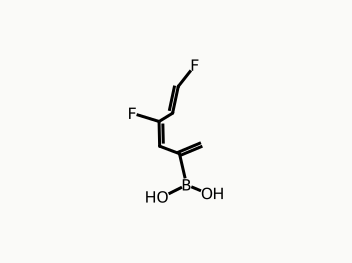 C=C(/C=C(F)\C=C\F)B(O)O